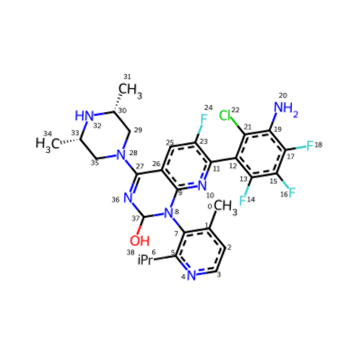 Cc1ccnc(C(C)C)c1N1c2nc(-c3c(F)c(F)c(F)c(N)c3Cl)c(F)cc2C(N2C[C@@H](C)N[C@@H](C)C2)=NC1O